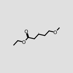 CCOC(=O)C[CH]CCOC